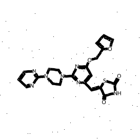 O=C1NC(=O)/C(=C/c2cc(OCc3ccco3)nc(N3CCN(c4ncccn4)CC3)n2)S1